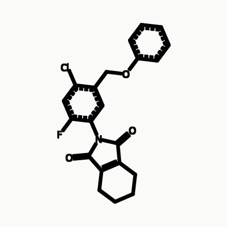 O=C1C2=C(CCCC2)C(=O)N1c1cc(COc2ccccc2)c(Cl)cc1F